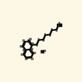 I.OCCCCCCCc1nccc2ccccc12